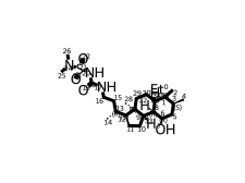 CC[C@@]1(C)[C@@H](C)C[C@@H](O)[C@H]2[C@@H]3CC[C@@H]([C@H](C)CCNC(=O)NS(=O)(=O)N(C)C)[C@@]3(C)CC[C@@H]21